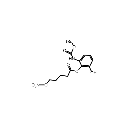 CC(C)(C)OC(=O)Nc1cccc(O)c1OC(=O)CCCCO[N+](=O)[O-]